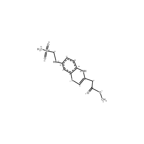 COC(=O)CC1=CSc2cc(NCS(C)(=O)=O)ccc2N1